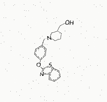 OCC1CCCN(Cc2ccc(Oc3nc4ccccc4s3)cc2)C1